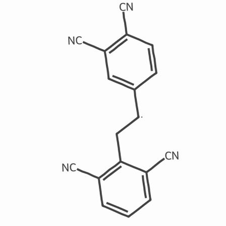 N#Cc1ccc([CH]Cc2c(C#N)cccc2C#N)cc1C#N